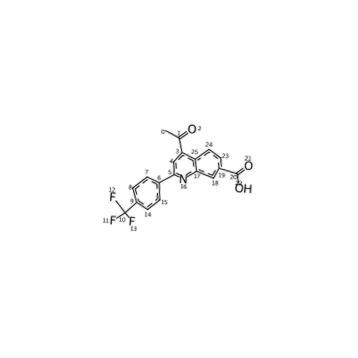 CC(=O)c1cc(-c2ccc(C(F)(F)F)cc2)nc2cc(C(=O)O)ccc12